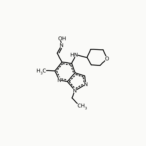 CCn1ncc2c(NC3CCOCC3)c(C=NO)c(C)nc21